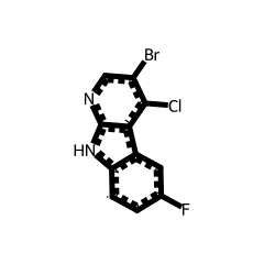 Fc1c[c]c2[nH]c3ncc(Br)c(Cl)c3c2c1